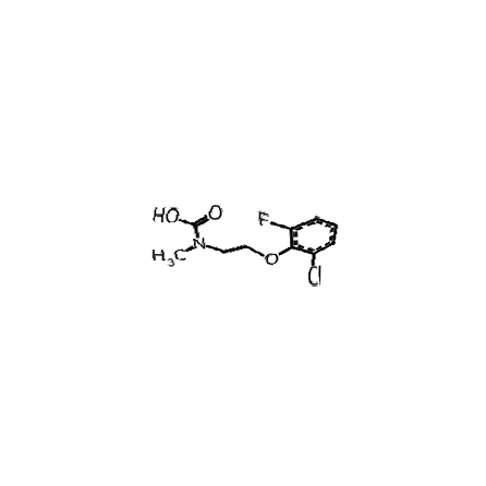 CN(CCOc1c(F)cccc1Cl)C(=O)O